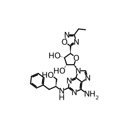 CCc1noc([C@H]2O[C@@H](n3cnc4c(N)nc(N[C@H](CO)Cc5ccccc5)nc43)[C@H](O)[C@@H]2O)n1